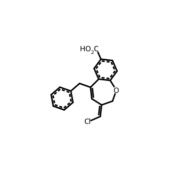 O=C(O)c1ccc2c(c1)C(Cc1ccccc1)=CC(=CCl)CO2